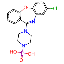 O=P(O)(O)N1CCN(C2=Nc3cc(Cl)ccc3Oc3ccccc32)CC1